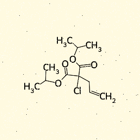 C=CCC(Cl)(C(=O)OC(C)C)C(=O)OC(C)C